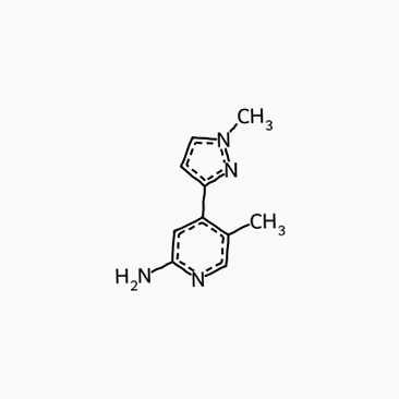 Cc1cnc(N)cc1-c1ccn(C)n1